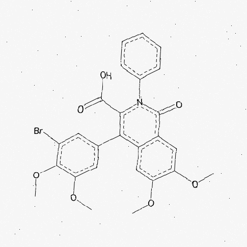 COc1cc2c(-c3cc(Br)c(OC)c(OC)c3)c(C(=O)O)n(-c3ccccc3)c(=O)c2cc1OC